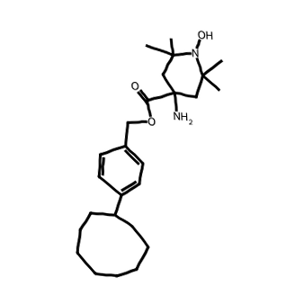 CC1(C)CC(N)(C(=O)OCc2ccc(C3CCCCCCCC3)cc2)CC(C)(C)N1O